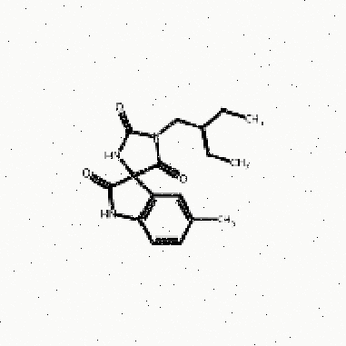 CCC(CC)CN1C(=O)NC2(C(=O)Nc3ccc(C)cc32)C1=O